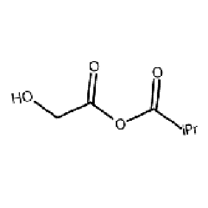 CC(C)C(=O)OC(=O)CO